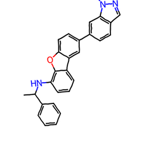 CC(Nc1cccc2c1oc1ccc(-c3ccc4cnn(C)c4c3)cc12)c1ccccc1